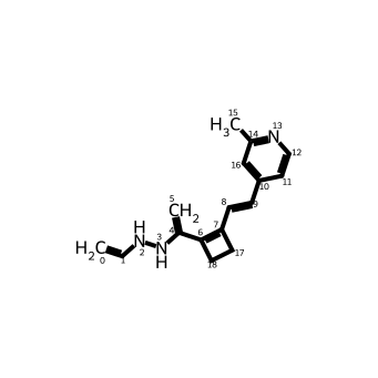 C=CNNC(=C)C1=C(C=Cc2ccnc(C)c2)CC1